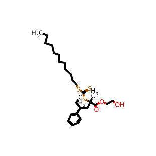 CCCCCCCCCCCCSC(=S)SC(C)(CC(CC)c1ccccc1)C(=O)OCCO